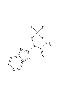 NC(=S)N(OC(F)(F)F)c1nc2ccccc2s1